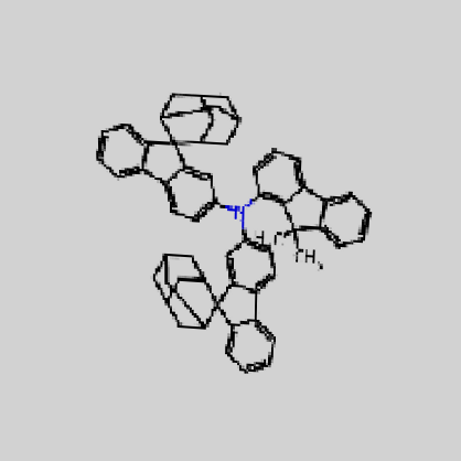 CC1(C)c2ccccc2-c2cccc(N(c3ccc4c(c3)C3(c5ccccc5-4)C4CC5CC(C4)CC3C5)c3ccc4c(c3)C3(c5ccccc5-4)C4CC5CC(C4)CC3C5)c21